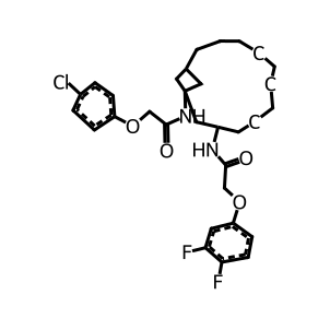 O=C(COc1ccc(F)c(F)c1)NC1CCCCCCCCCC2CC(NC(=O)COc3ccc(Cl)cc3)(C2)C1